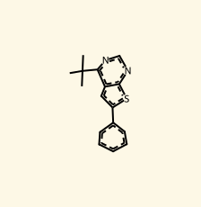 CC(C)(C)c1ncnc2sc(-c3ccccc3)cc12